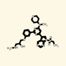 CCS(=O)(=O)n1cc(-c2cc(N(C)C3CCOCC3)nc(-c3cccc(OCC(O)CNC)c3)n2)c2cncnc21